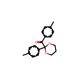 Cc1ccc(C(=O)C2(c3ccc(C)cc3)OCCCO2)cc1